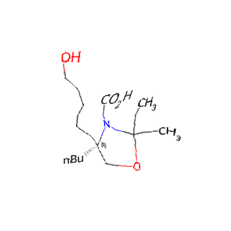 CCCC[C@@]1(CCCO)COC(C)(C)N1C(=O)O